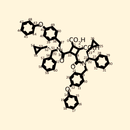 O=C(O)C1C(C(=O)O)C(C(=O)N(Cc2ccc(Oc3ccccc3)cc2)[C@@H](CC2CC2)c2ccccc2)C1C(=O)N(Cc1ccc(Oc2ccccc2)cc1)[C@@H](CC1CC1)c1ccccc1